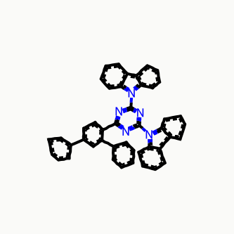 c1ccc(-c2ccc(-c3nc(-n4c5ccccc5c5ccccc54)nc(-n4c5ccccc5c5ccccc54)n3)c(-c3ccccc3)c2)cc1